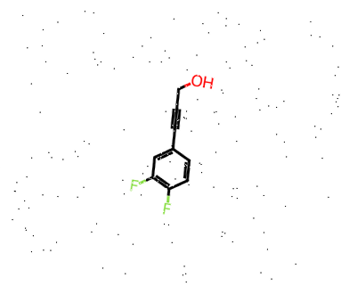 OCC#Cc1ccc(F)c(F)c1